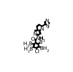 Bc1c(B)c(C(=O)Nc2cc3nc(-c4cncn4C)ccc3cn2)c(B)c(B)c1Cl